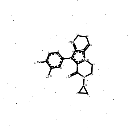 O=C1c2c(-c3ccc(F)c(Cl)c3)c3c(n2CCN1C1CC1)=CCCN=3